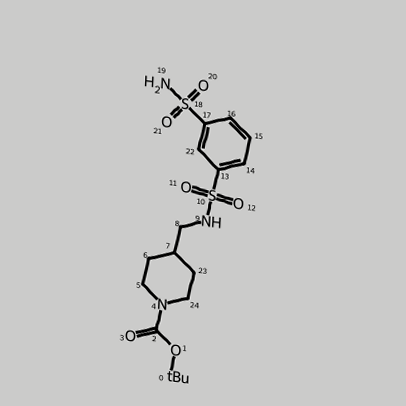 CC(C)(C)OC(=O)N1CCC(CNS(=O)(=O)c2cccc(S(N)(=O)=O)c2)CC1